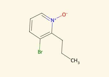 CCCc1c(Br)ccc[n+]1[O-]